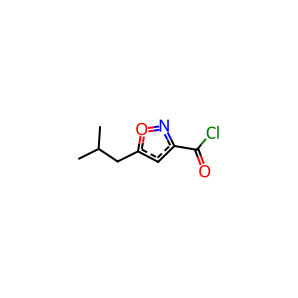 CC(C)Cc1cc(C(=O)Cl)no1